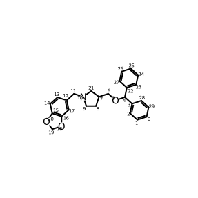 c1ccc(C(OCC2CCN(Cc3ccc4c(c3)OCO4)C2)c2ccccc2)cc1